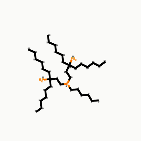 CCCCCCP(CCC(P)(CCCCCC)CCCCCC)CCC(P)(CCCCCC)CCCCCC